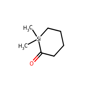 C[Si]1(C)CCCCC1=O